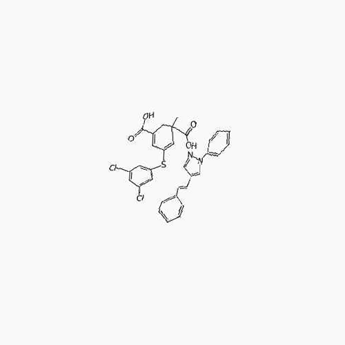 C(=Cc1cnn(-c2ccccc2)c1)c1ccccc1.CC1(C(=O)O)C=C(Sc2cc(Cl)cc(Cl)c2)C=C(C(=O)O)C1